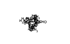 CCn1nc(C)cc1CN(C)c1c(/C=N\C)c2cc(C(N)=O)cc(OCCCN3CCOCC3)c2n1C/C=C/Cn1c2nc(-c3cc(C)nn3CC)ncc2c2cc(C=O)cc(CCCCO)c21